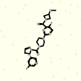 COC1CN(C(=O)c2nc(N3CCN(C(=O)N4N=CC[C@H]4c4cncc(F)c4)CC3)ncc2F)C1